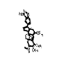 CN(C)[C@H]1C[C@@]23CC[C@@]4(O2)C(=C(C(F)(F)F)C[C@]2(C)C(c5ccc6nn[nH]c6c5)=CCC24)C=C3[C@@H](O)[C@@H]1O